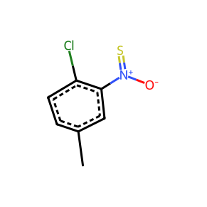 Cc1ccc(Cl)c([N+]([O-])=S)c1